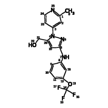 Cc1cc(-n2nc(Nc3cccc(OC(F)(F)F)c3)cc2CO)ccn1